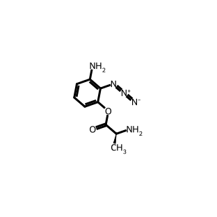 C[C@H](N)C(=O)Oc1cccc(N)c1N=[N+]=[N-]